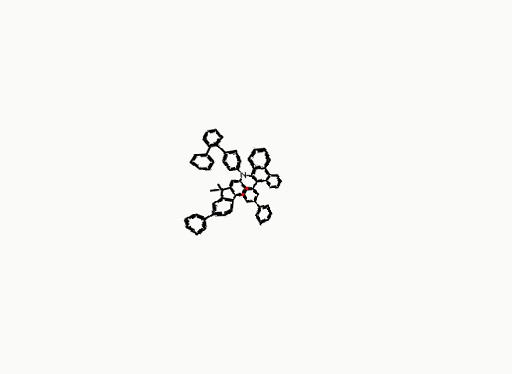 CC1(C)c2cc(-c3ccccc3)ccc2-c2ccc(N(c3ccc(-c4ccccc4-c4ccccc4)cc3)c3c(-c4cccc(-c5ccccc5)c4)c4ccccc4c4ccccc34)cc21